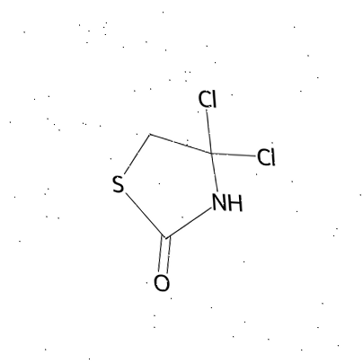 O=C1NC(Cl)(Cl)CS1